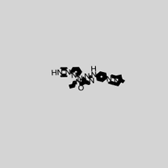 C=CCn1c(=O)c2cnc(Nc3ccc(N4CC5CC6(C)CC(C4)N56)cc3)nc2n1-c1cccc(N2CCNCC2)n1